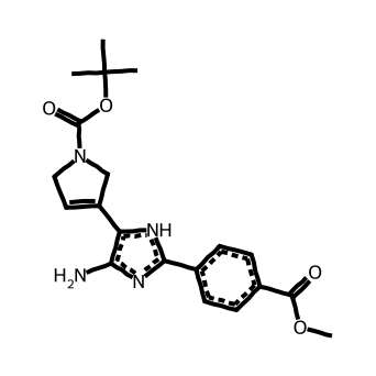 COC(=O)c1ccc(-c2nc(N)c(C3=CCN(C(=O)OC(C)(C)C)C3)[nH]2)cc1